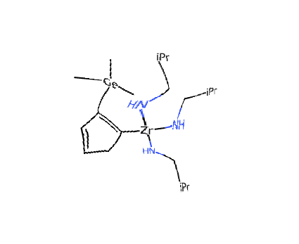 CC(C)C[NH][Zr]([NH]CC(C)C)([NH]CC(C)C)[C]1=[C]([Ge]([CH3])([CH3])[CH3])C=CC1